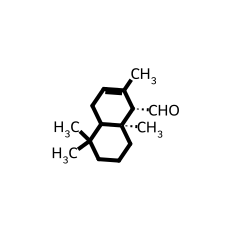 CC1=CCC2C(C)(C)CCC[C@]2(C)[C@H]1C=O